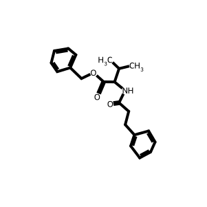 CC(C)C(NC(=O)CCc1ccccc1)C(=O)OCc1ccccc1